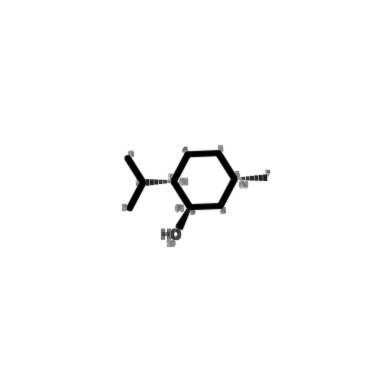 CC(C)[C@@H]1CC[C@H](C)C[C@H]1O